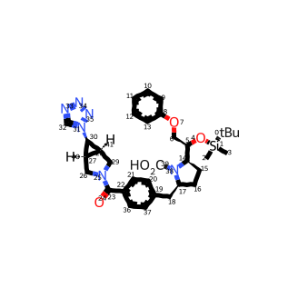 CC(C)(C)[Si](C)(C)O[C@H](COc1ccccc1)[C@H]1CC[C@@H](Cc2ccc(C(=O)N3C[C@@H]4[C@H](C3)[C@@H]4n3cnnn3)cc2)N1C(=O)O